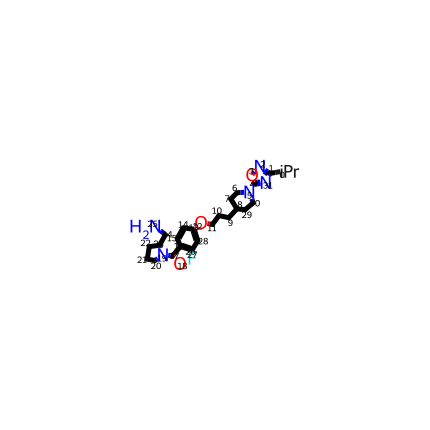 CC(C)c1noc(N2CCC(CCCOc3ccc(C(=O)N4CCCC4CN)c(F)c3)CC2)n1